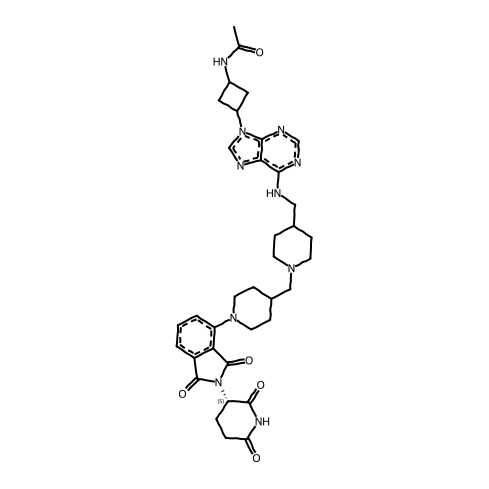 CC(=O)NC1CC(n2cnc3c(NCC4CCN(CC5CCN(c6cccc7c6C(=O)N([C@H]6CCC(=O)NC6=O)C7=O)CC5)CC4)ncnc32)C1